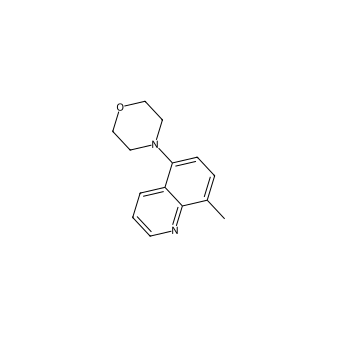 Cc1ccc(N2CCOCC2)c2cccnc12